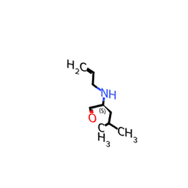 C=CCN[C@H](C=O)CC(C)C